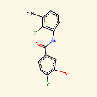 O=C(Nc1cccc([N+](=O)[O-])c1Cl)c1ccc(Cl)c(O)c1